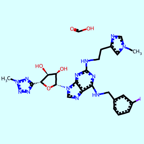 Cn1cnc(CCNc2nc(NCc3cccc(I)c3)c3ncn([C@@H]4O[C@H](c5nnn(C)n5)[C@@H](O)[C@H]4O)c3n2)c1.O=CO